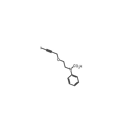 O=C(O)N(CCOCC#CI)c1ccccc1